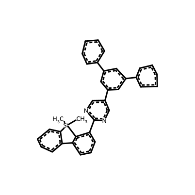 C[Si]1(C)c2ccccc2-c2cccc(-c3ncc(-c4cc(-c5ccccc5)cc(-c5ccccc5)c4)cn3)c21